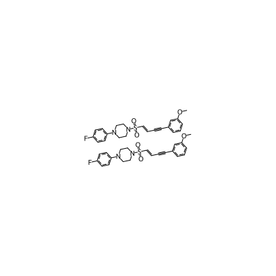 COc1cccc(C#CC=CS(=O)(=O)N2CCN(c3ccc(F)cc3)CC2)c1.COc1cccc(C#CC=CS(=O)(=O)N2CCN(c3ccc(F)cc3)CC2)c1